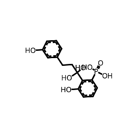 O=P(O)(O)c1cccc(O)c1C(O)(O)CCc1cccc(O)c1